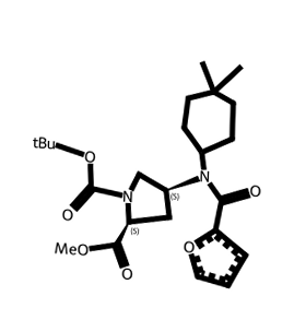 COC(=O)[C@@H]1C[C@H](N(C(=O)c2ccco2)C2CCC(C)(C)CC2)CN1C(=O)OC(C)(C)C